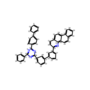 c1ccc(-c2ccc(-c3nc(-c4ccccc4)nc(-c4cccc(-c5cccc(-c6ccc7ccc8c9ccccc9ccc8c7n6)c5)c4)n3)cc2)cc1